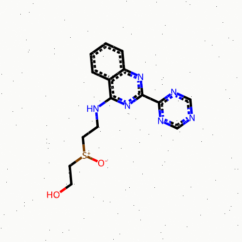 [O-][S+](CCO)CCNc1nc(-c2ncncn2)nc2ccccc12